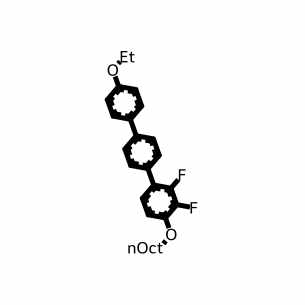 CCCCCCCCOc1ccc(-c2ccc(-c3ccc(OCC)cc3)cc2)c(F)c1F